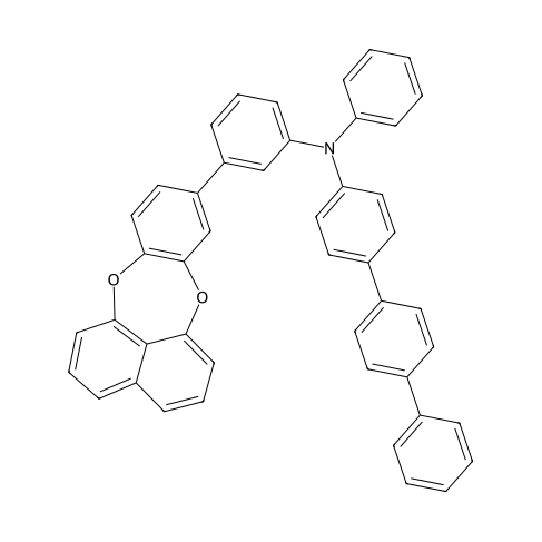 c1ccc(-c2ccc(-c3ccc(N(c4ccccc4)c4cccc(-c5ccc6c(c5)Oc5cccc7cccc(c57)O6)c4)cc3)cc2)cc1